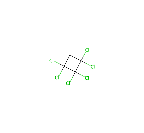 ClC1(Cl)CC(Cl)(Cl)C1(Cl)Cl